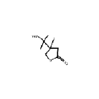 CC(C)(O)C1(I)COC(=O)C1